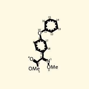 CON=C(C(=O)OC)c1ccc(Oc2ccccc2)cc1